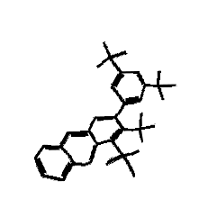 CC(C)(C)c1cc(-c2cc3cc4ccccc4cc3c(C(C)(C)C)c2C(C)(C)C)cc(C(C)(C)C)c1